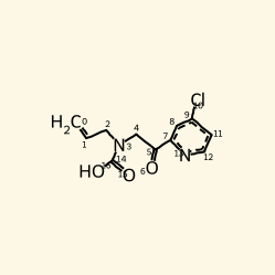 C=CCN(CC(=O)c1cc(Cl)ccn1)C(=O)O